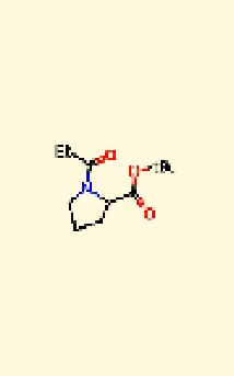 CCC(=O)N1CCCC1C(=O)OC(C)(C)C